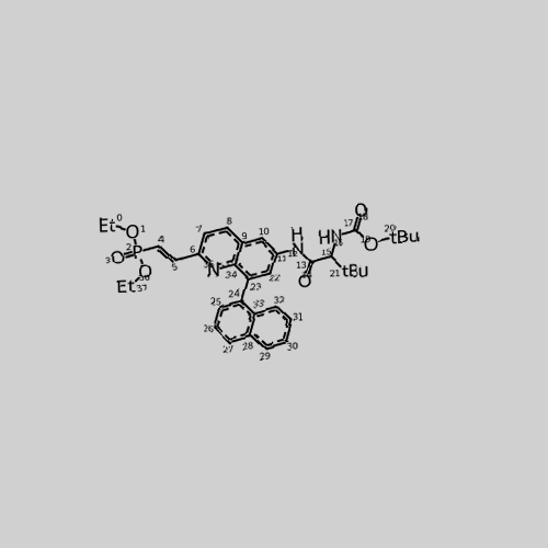 CCOP(=O)(C=Cc1ccc2cc(NC(=O)C(NC(=O)OC(C)(C)C)C(C)(C)C)cc(-c3cccc4ccccc34)c2n1)OCC